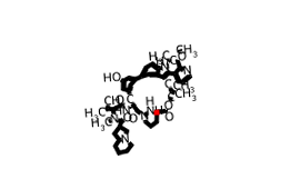 CCn1c(-c2cccnc2[C@H](C)OC)c2c3cc(ccc31)-c1cc(O)cc(c1)C[C@H](NC(=O)C(C(C)C)N(C)C(=O)C1CC3CCCCN3C1)C(=O)N1CCC[C@H](N1)C(=O)OCC(C)(C)C2